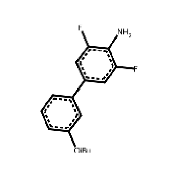 CC(C)COc1cccc(-c2cc(F)c(N)c(F)c2)c1